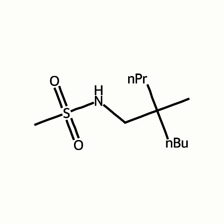 CCCCC(C)(CCC)CNS(C)(=O)=O